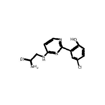 CCC(N)CNc1ccnc(-c2cc(Cl)ccc2O)n1